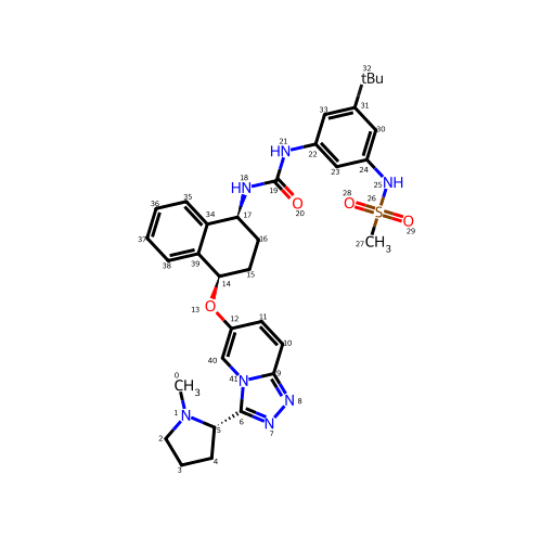 CN1CCC[C@H]1c1nnc2ccc(O[C@@H]3CC[C@H](NC(=O)Nc4cc(NS(C)(=O)=O)cc(C(C)(C)C)c4)c4ccccc43)cn12